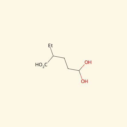 CCC(CCC(O)O)C(=O)O